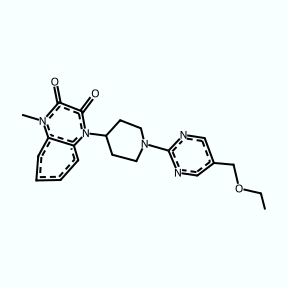 CCOCc1cnc(N2CCC(n3c(=O)c(=O)n(C)c4ccccc43)CC2)nc1